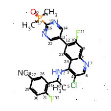 CC(Nc1c(Cl)cnc2cc(F)c(-c3cnc(P(C)(C)=O)nc3)cc12)c1cc(C#N)ccc1F